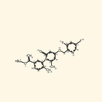 C=C(OCCCC)c1cc(-n2c(C)cc(OCc3ncc(F)cc3F)cc2=O)c(C)cn1